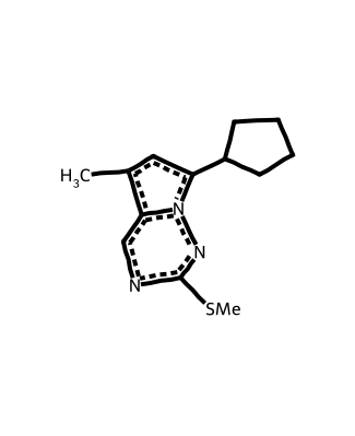 CSc1ncc2c(C)cc(C3CCCC3)n2n1